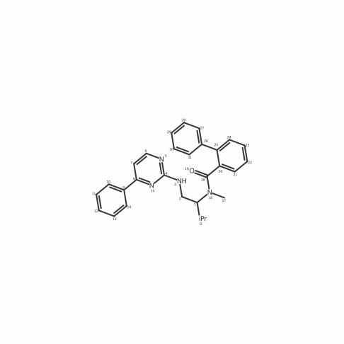 CC(C)C(CNc1nccc(-c2ccccc2)n1)N(C)C(=O)c1ccccc1-c1ccccc1